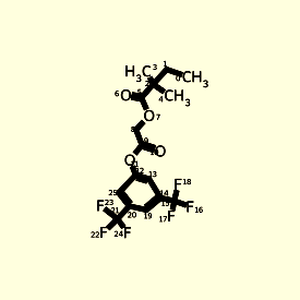 CCC(C)(C)C(=O)OCC(=O)Oc1cc(C(F)(F)F)cc(C(F)(F)F)c1